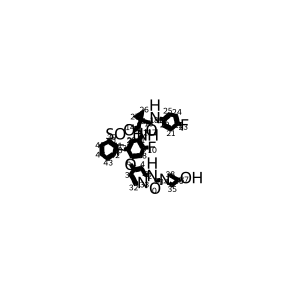 O=C(Nc1cc(Oc2cc(F)c(NC(=O)C3(C(=O)Nc4ccc(F)cc4)CC3)cc2F)ccn1)N1CC(O)C1.O=S(=O)(O)c1ccccc1